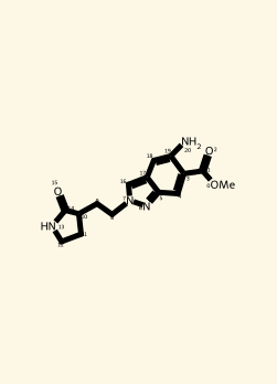 COC(=O)c1cc2nn(CCC3CCNC3=O)cc2cc1N